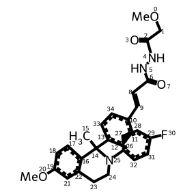 COCC(=O)NNC(=O)C=Cc1ccc(C2(C)c3ccc(OC)cc3CCN2c2ccc(F)cc2)cc1